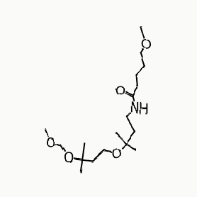 COCCCCC(=O)NCCC(C)(C)OCCC(C)(C)OCOC